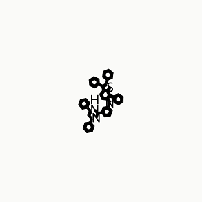 C1=C(c2ccccc2)NC(c2cccc(-n3c4ccccc4c4c5sc(-c6ccccc6)c(-c6ccccc6)c5ccc43)c2)N=C1c1ccccc1